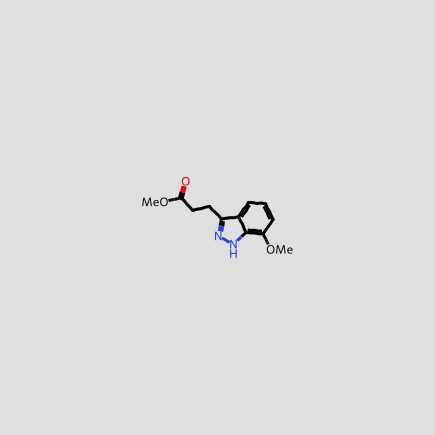 COC(=O)CCc1n[nH]c2c(OC)cccc12